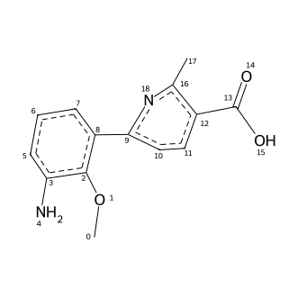 COc1c(N)cccc1-c1ccc(C(=O)O)c(C)n1